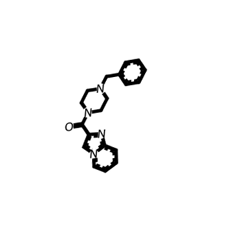 O=C(c1cn2ccccc2n1)N1CCN(Cc2ccccc2)CC1